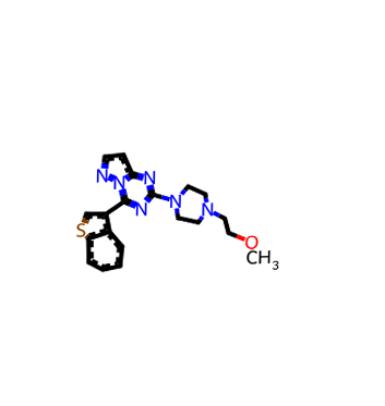 COCCN1CCN(c2nc(-c3csc4ccccc34)n3nccc3n2)CC1